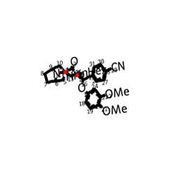 CCCCCCNC(=O)N1CC2CCC(C1)N2CCCC(Oc1ccc(OC)c(OC)c1)c1ccc(C#N)cc1